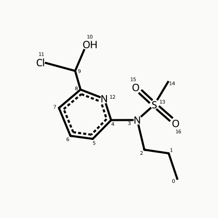 CCCN(c1cccc(C(O)Cl)n1)S(C)(=O)=O